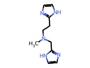 CN(CCc1ncc[nH]1)Cc1ncc[nH]1